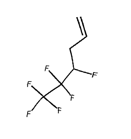 C=CCC(F)C(F)(F)C(F)(F)F